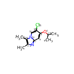 Cc1nc2cc(OC(C)C)c(Cl)cn2c1C